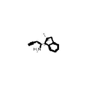 C#CCC(N)[C@H]1c2ccccc2C[C@H]1C